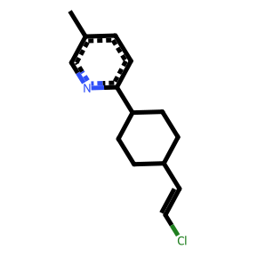 Cc1ccc(C2CCC(/C=C/Cl)CC2)nc1